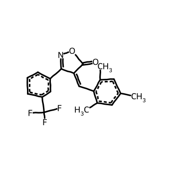 Cc1cc(C)c(/C=C2\C(=O)ON=C2c2cccc(C(F)(F)F)c2)c(C)c1